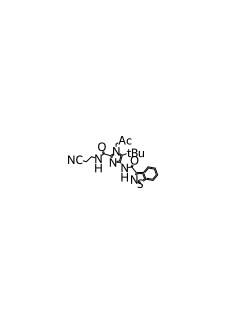 CC(=O)Cn1c(C(=O)NCCC#N)nc(NC(=O)c2nsc3ccccc23)c1C(C)(C)C